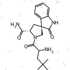 CC(C)(C)CC(N)C(=O)N1C[C@]2(C[C@H]1C(N)=O)C(=O)Nc1ccccc12